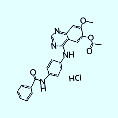 COc1cc2ncnc(Nc3ccc(NC(=O)c4ccccc4)cc3)c2cc1OC(C)=O.Cl